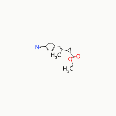 CCOC(=O)C1CC1/C(C)=C/c1ccc(C#N)cc1